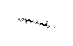 COC(=O)CCSSSSCCC(=O)OC